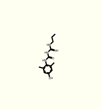 CCCNC(=N)NC(=O)Nc1c(C)cc(O)cc1C